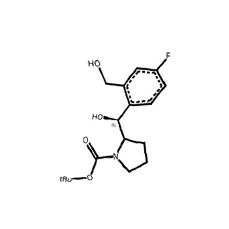 CC(C)(C)OC(=O)N1CCCC1[C@@H](O)c1ccc(F)cc1CO